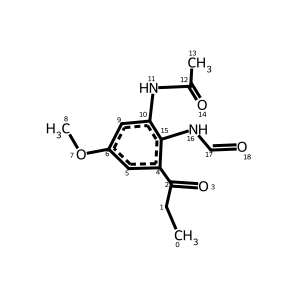 CCC(=O)c1cc(OC)cc(NC(C)=O)c1NC=O